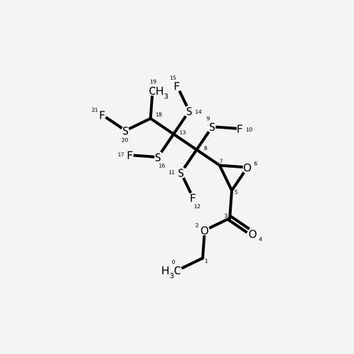 CCOC(=O)C1OC1C(SF)(SF)C(SF)(SF)C(C)SF